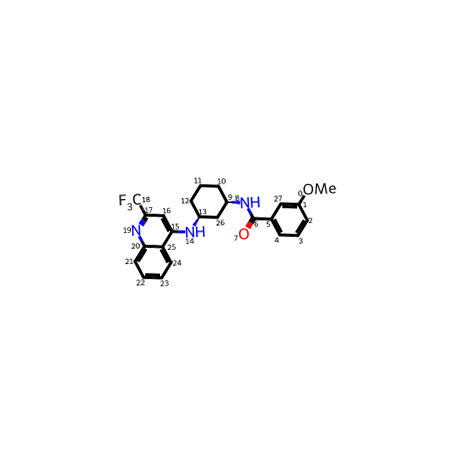 COc1cccc(C(=O)N[C@@H]2CCC[C@H](Nc3cc(C(F)(F)F)nc4ccccc34)C2)c1